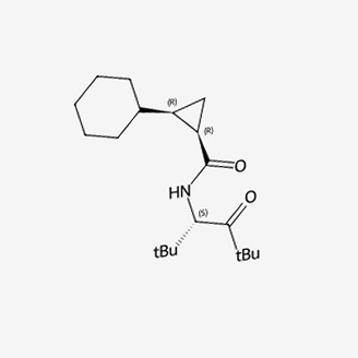 CC(C)(C)C(=O)[C@@H](NC(=O)[C@@H]1C[C@@H]1C1CCCCC1)C(C)(C)C